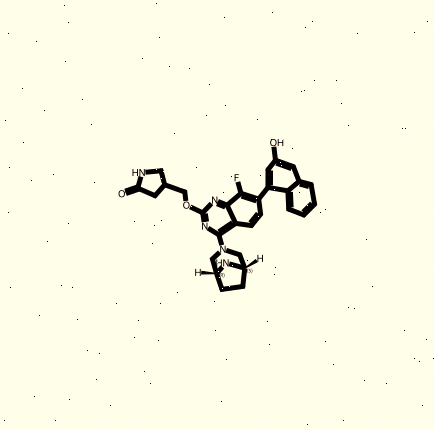 O=C1CC(COc2nc(N3C[C@H]4CC[C@@H](C3)N4)c3ccc(-c4cc(O)cc5ccccc45)c(F)c3n2)CN1